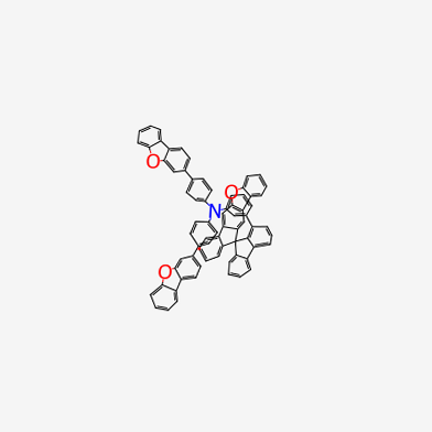 c1cc(-c2cccc3c2C2(c4ccccc4-c4cc5oc6ccccc6c5cc42)c2ccccc2-3)cc(N(c2ccc(-c3ccc4c(c3)oc3ccccc34)cc2)c2ccc(-c3ccc4c(c3)oc3ccccc34)cc2)c1